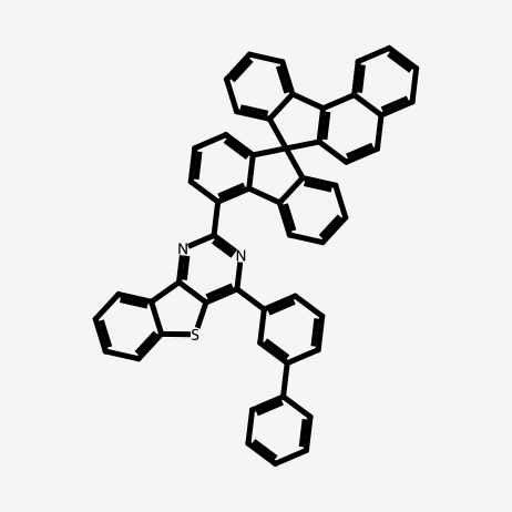 c1ccc(-c2cccc(-c3nc(-c4cccc5c4-c4ccccc4C54c5ccccc5-c5c4ccc4ccccc54)nc4c3sc3ccccc34)c2)cc1